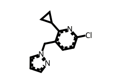 Clc1ccc(Cn2cccn2)c(C2CC2)n1